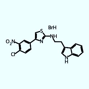 Br.O=[N+]([O-])c1cc(-c2csc(NCCc3c[nH]c4ccccc34)n2)ccc1Cl